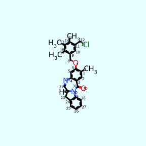 Cc1cc2c(cc1OCc1cc(CCl)c(C)c(C)c1C)N=C[C@@H]1Cc3ccccc3N1C2=O